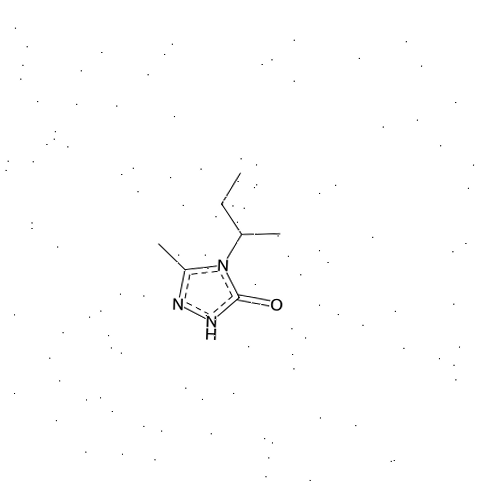 CCC(C)n1c(C)n[nH]c1=O